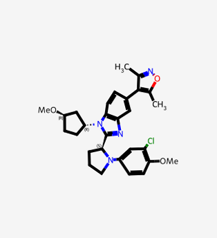 COc1ccc(N2CCC[C@H]2c2nc3cc(-c4c(C)noc4C)ccc3n2[C@@H]2CC[C@@H](OC)C2)cc1Cl